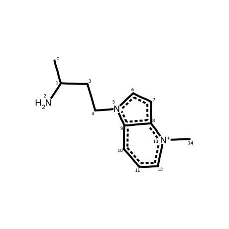 CC(N)CCn1ccc2c1ccc[n+]2C